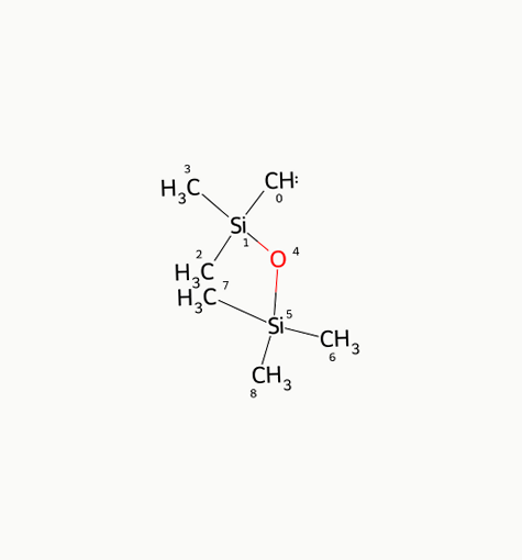 [CH][Si](C)(C)O[Si](C)(C)C